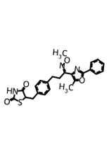 CON=C(CCc1ccc(CC2SC(=O)NC2=O)cc1)c1nc(-c2ccccc2)oc1C